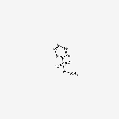 CCS(=O)(=O)c1cccnc1